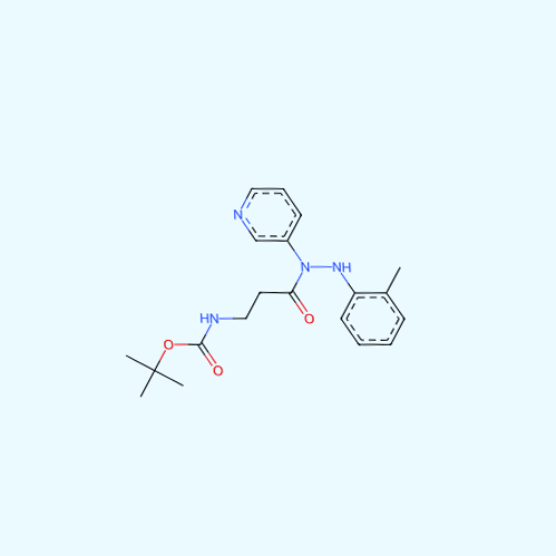 Cc1ccccc1NN(C(=O)CCNC(=O)OC(C)(C)C)c1cccnc1